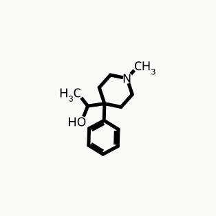 CC(O)C1(c2ccccc2)CCN(C)CC1